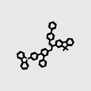 CC1(C)c2ccccc2-c2ccc(/C(=C\c3ccc(-c4ccccc4)cc3)Cc3ccc(-c4ccc(-n5c6ccccc6c6ccccc65)cc4)c(-c4ccccc4)c3)cc21